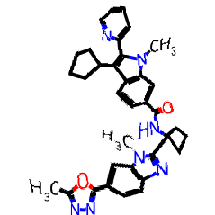 Cc1nnc(-c2ccc3nc(C4(NC(=O)c5ccc6c(C7CCCC7)c(-c7ccccn7)n(C)c6c5)CCC4)n(C)c3c2)o1